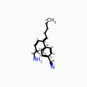 C=C(/C=C\C(=C/CCCC)c1ccc(C#N)cc1)CN